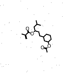 C=C(C)C(=O)OC(CCC1CCCC(OC(C)=O)C1)CC(C)C